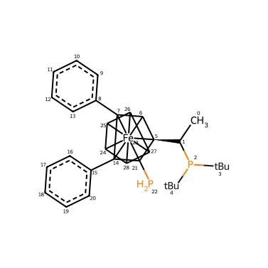 CC(P(C(C)(C)C)C(C)(C)C)[C@@]12[CH]3[C]4(c5ccccc5)[C]5(c6ccccc6)[C]1(P)[Fe]34521678[CH]2[CH]1[CH]6[CH]7[CH]28